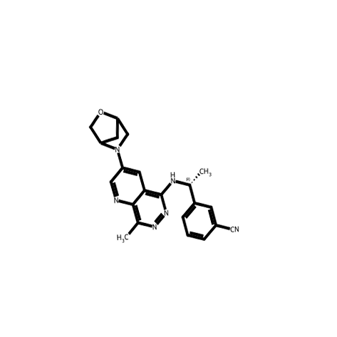 Cc1nnc(N[C@H](C)c2cccc(C#N)c2)c2cc(N3CC4CC3CO4)cnc12